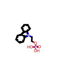 O=P(O)(O)OCCn1c2ccccc2c2ccccc21